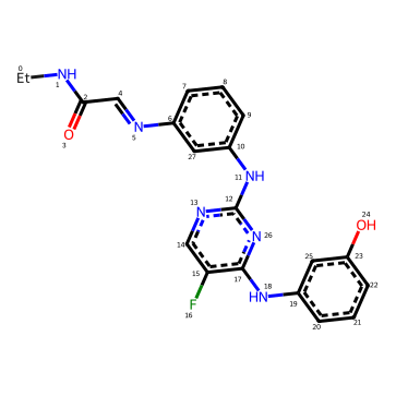 CCNC(=O)C=Nc1cccc(Nc2ncc(F)c(Nc3cccc(O)c3)n2)c1